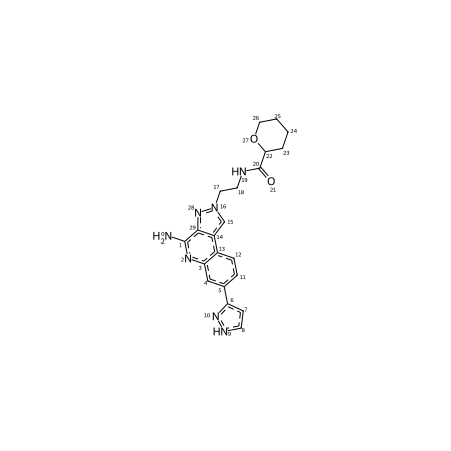 Nc1nc2cc(-c3cc[nH]n3)ccc2c2cn(CCNC(=O)C3CCCCO3)nc12